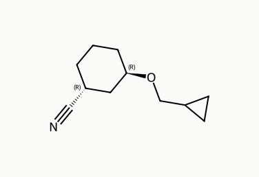 N#C[C@@H]1CCC[C@@H](OCC2CC2)C1